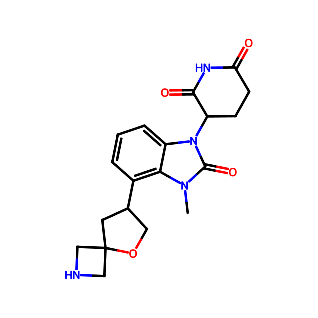 Cn1c(=O)n(C2CCC(=O)NC2=O)c2cccc(C3COC4(CNC4)C3)c21